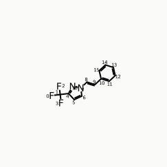 FC(F)(F)c1ccn(C=Cc2ccccc2)n1